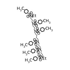 CCN(CCCN(CCCN(CCCCN(CCCN(CCCN(CC)S(=O)(=O)c1ccc(C)cc1)S(=O)(=O)c1ccc(C)cc1)S(=O)(=O)c1ccc(C)cc1)S(=O)(=O)c1ccc(C)cc1)S(=O)(=O)c1ccc(C)cc1)S(=O)(=O)c1ccc(C)cc1